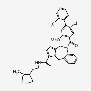 COc1cc(-c2ccccc2C)c(Cl)cc1C(=O)N1Cc2ccc(C(=O)NCCC3CCCN3C)n2Cc2ccccc21